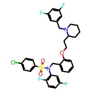 O=S(=O)(c1ccc(Cl)cc1)N(Cc1ccccc1OCCC1CCCCN1Cc1cc(F)cc(F)c1)c1cc(F)ccc1F